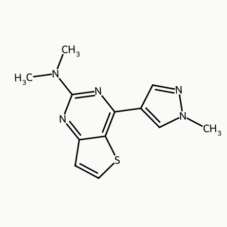 CN(C)c1nc(-c2cnn(C)c2)c2sccc2n1